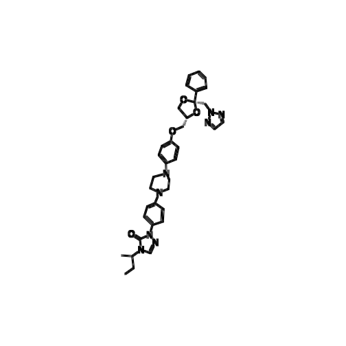 CCC(C)n1cnn(-c2ccc(N3CCN(c4ccc(OC[C@@H]5CO[C@@](Cn6nccn6)(c6ccccc6)O5)cc4)CC3)cc2)c1=O